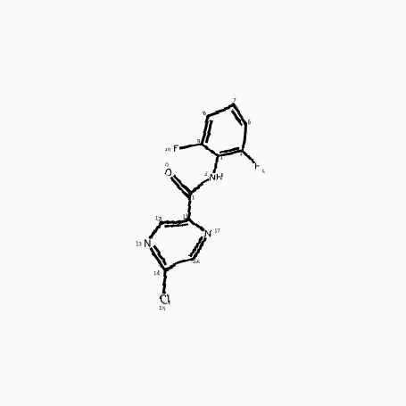 O=C(Nc1c(F)cccc1F)c1cnc(Cl)cn1